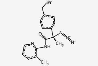 Cc1cccnc1NC(=O)[C@@](C)(N=[N+]=[N-])c1ccc(CC(C)C)cc1